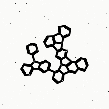 c1ccc(-n2c3ccccc3c3cc(-c4cccc5c6cc7ccccc7c7c8nc9c(cc8n(c45)c67)c4cccc5c6ccccc6n9c54)ccc32)cc1